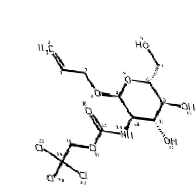 C=CCO[C@H]1O[C@H](CO)[C@@H](O)[C@H](O)[C@H]1NC(=O)OCC(Cl)(Cl)Cl